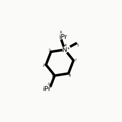 CC(C)C1CC[N+](C)(C(C)C)CC1